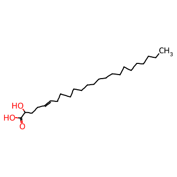 CCCCCCCCCCCCCCCCCCC=CCCC(O)C(=O)O